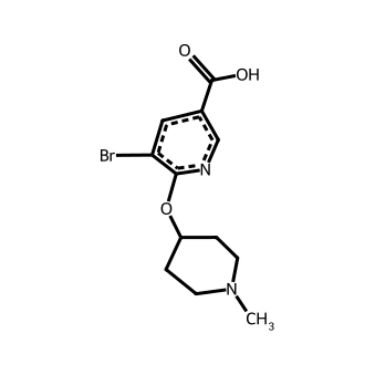 CN1CCC(Oc2ncc(C(=O)O)cc2Br)CC1